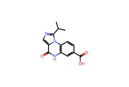 CC(C)c1ncc2c(=O)[nH]c3cc(C(=O)O)ccc3n12